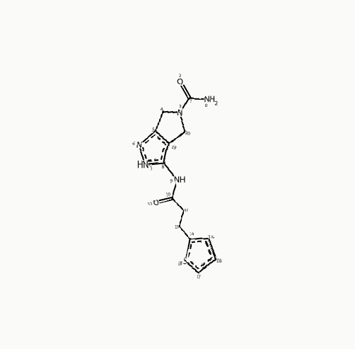 NC(=O)N1Cc2n[nH]c(NC(=O)CCc3cccs3)c2C1